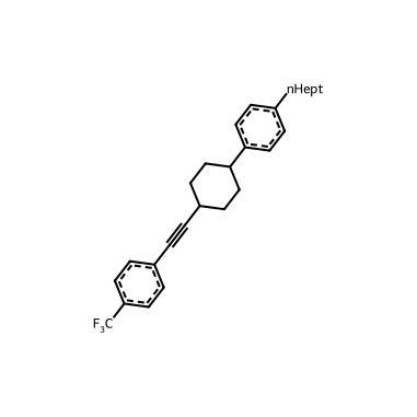 CCCCCCCc1ccc(C2CCC(C#Cc3ccc(C(F)(F)F)cc3)CC2)cc1